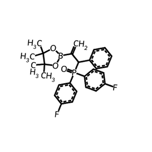 C=C(B1OC(C)(C)C(C)(C)O1)C(c1ccccc1)P(=O)(c1ccc(F)cc1)c1ccc(F)cc1